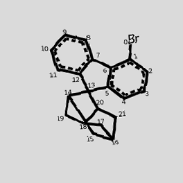 Brc1cccc2c1-c1ccccc1C21C2CC3CC(C2)C1C3